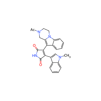 CC(=O)N1CCn2c(c(C3=C(c4cn(C)c5ccccc45)C(=O)NC3=O)c3ccccc32)C1